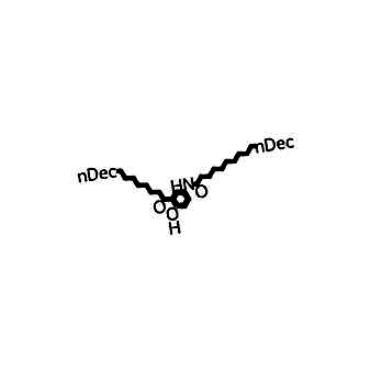 CCCCCCCCCCCCCCCCCCCC(=O)Nc1ccc(O)c(C(=O)CCCCCCCCCCCCCCCCC)c1